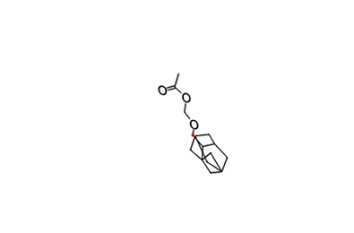 CC(=O)OCOCC1C2CC3CC4(C2)CC1(C3)C4